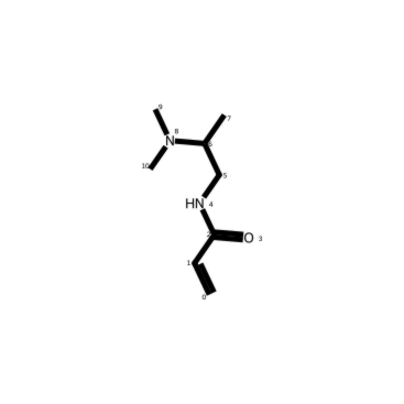 C=CC(=O)NCC(C)N(C)C